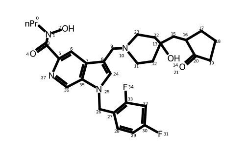 CCCN(O)C(=O)c1cc2c(CN3CCC(O)(CC4CCCC4=O)CC3)cn(Cc3ccc(F)cc3F)c2cn1